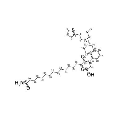 CCCN(CCc1cccs1)[C@H]1CCc2c(cccc2N(CC(=O)O)C(=O)CCCCCCCCCCCCCCC(N)=O)C1